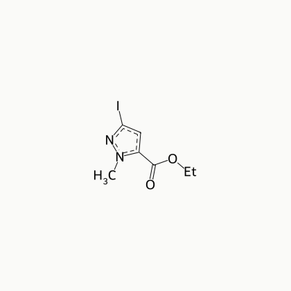 CCOC(=O)c1cc(I)nn1C